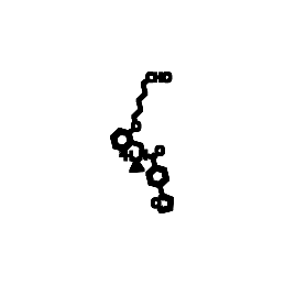 [2H]C1(N(Cc2ccccc2OCCCCCC=O)C(=O)c2ccc(-c3ccco3)cc2)CC1